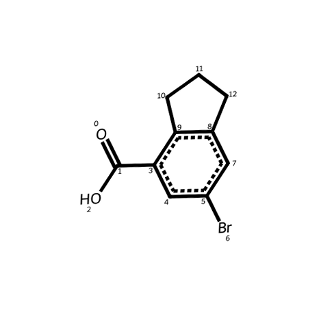 O=C(O)c1cc(Br)cc2c1CCC2